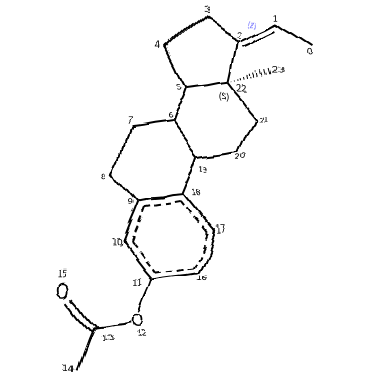 C/C=C1/CCC2C3CCc4cc(OC(C)=O)ccc4C3CC[C@]12C